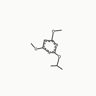 COc1cc(OC)nc(OC(C)C)n1